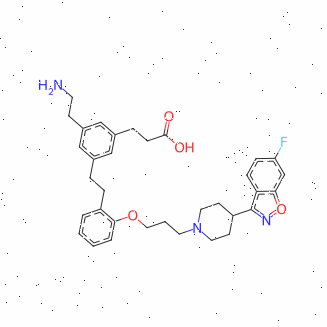 NCCc1cc(CCC(=O)O)cc(CCc2ccccc2OCCCN2CCC(c3noc4cc(F)ccc34)CC2)c1